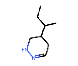 CCC(C)C1CC=NNC1